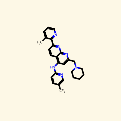 FC(F)(F)c1ccc(Nc2cc(CN3CCCCC3)nc3nc(-c4ncccc4C(F)(F)F)ccc23)nc1